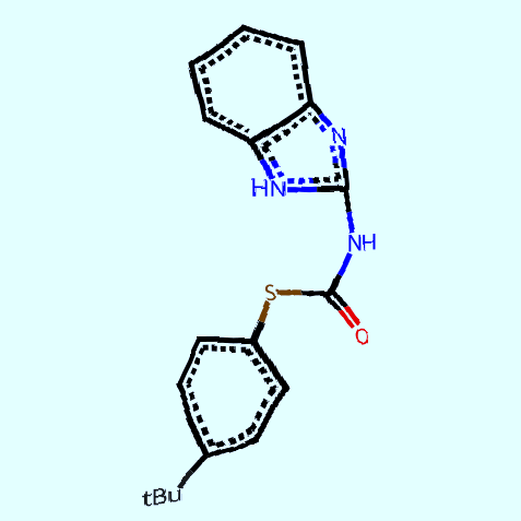 CC(C)(C)c1ccc(SC(=O)Nc2nc3ccccc3[nH]2)cc1